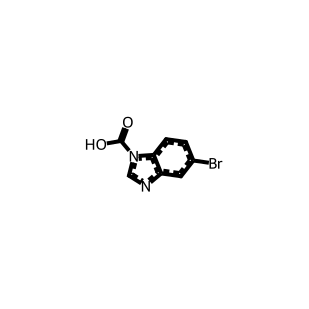 O=C(O)n1cnc2cc(Br)ccc21